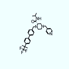 CC(C)NC(=O)[C@@H]1CN(Cc2ccncc2)CCN1Cc1ccc(-c2ccc(C(C)(C)C(F)(F)F)cc2)cc1